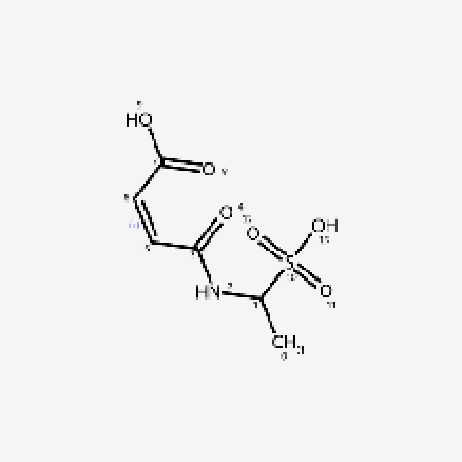 CC(NC(=O)/C=C\C(=O)O)S(=O)(=O)O